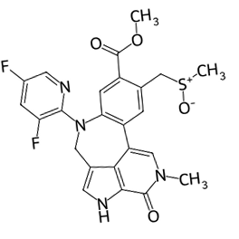 COC(=O)c1cc2c(cc1C[S+](C)[O-])-c1cn(C)c(=O)c3[nH]cc(c13)CN2c1ncc(F)cc1F